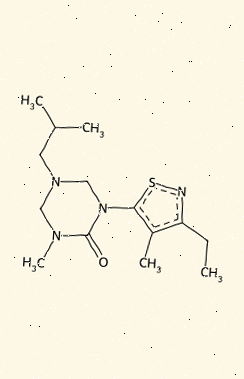 CCc1nsc(N2CN(CC(C)C)CN(C)C2=O)c1C